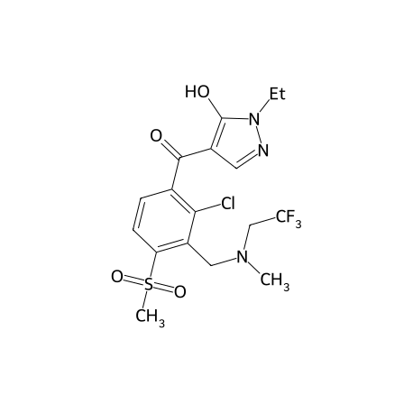 CCn1ncc(C(=O)c2ccc(S(C)(=O)=O)c(CN(C)CC(F)(F)F)c2Cl)c1O